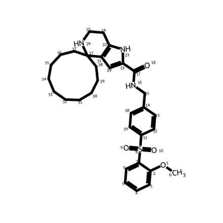 COc1ccccc1S(=O)(=O)c1ccc(CNC(=O)c2cc3c([nH]2)CCNC32CCCCCCCCCC2)cc1